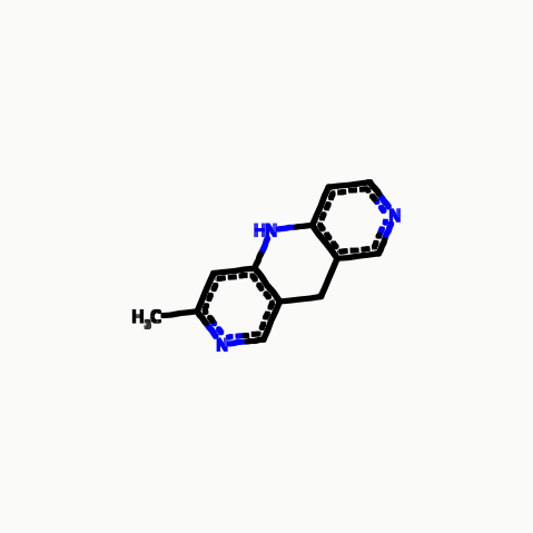 Cc1cc2c(cn1)Cc1cnccc1N2